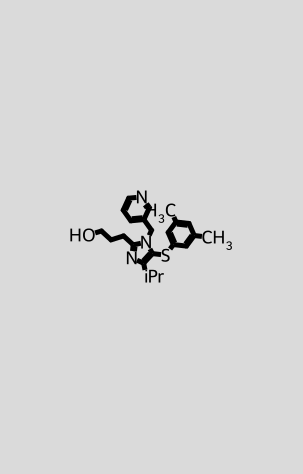 Cc1cc(C)cc(Sc2c(C(C)C)nc(CCCO)n2Cc2cccnc2)c1